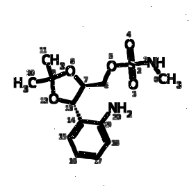 CNS(=O)(=O)OC[C@@H]1OC(C)(C)O[C@H]1c1ccccc1N